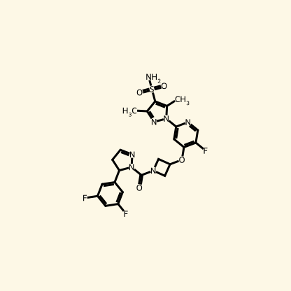 Cc1nn(-c2cc(OC3CN(C(=O)N4N=CCC4c4cc(F)cc(F)c4)C3)c(F)cn2)c(C)c1S(N)(=O)=O